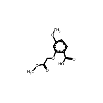 COC(=O)COc1cc(OC)ccc1C(=O)O